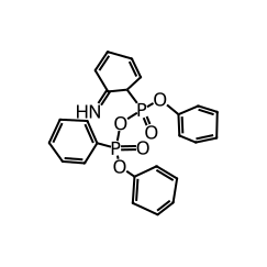 N=C1C=CC=CC1P(=O)(Oc1ccccc1)OP(=O)(Oc1ccccc1)c1ccccc1